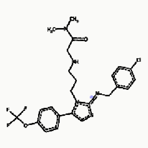 CN(C)C(=O)CNCCCn1c(-c2ccc(OC(F)(F)F)cc2)cs/c1=N\Cc1ccc(Cl)cc1